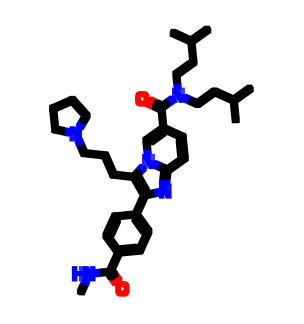 CNC(=O)c1ccc(-c2nc3ccc(C(=O)N(CCC(C)C)CCC(C)C)cn3c2CCCN2CCCC2)cc1